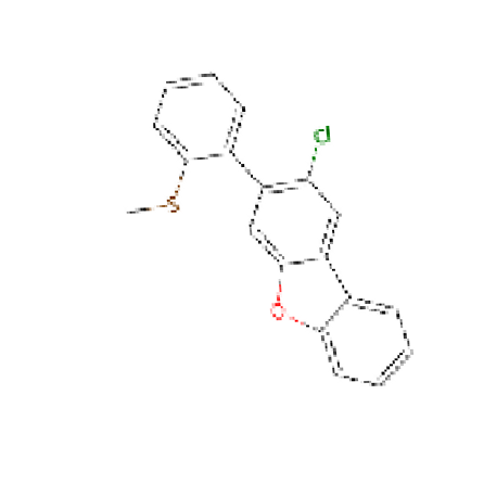 CSc1ccccc1-c1cc2oc3ccccc3c2cc1Cl